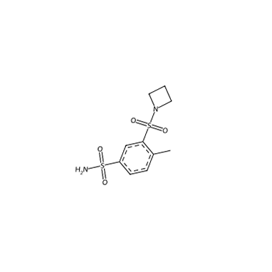 Cc1ccc(S(N)(=O)=O)cc1S(=O)(=O)N1CCC1